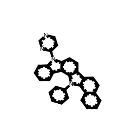 c1ccc(-n2c3c4ccccc4ccc3c3ccc4c(c5ccccc5n4-c4ccncn4)c32)cc1